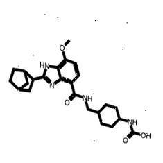 COc1ccc(C(=O)NCC2CCC(NC(=O)O)CC2)c2nc(C3CC4CCC3C4)[nH]c12